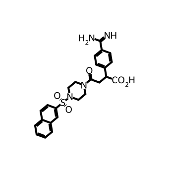 N=C(N)c1ccc(C(CC(=O)N2CCN(S(=O)(=O)c3ccc4ccccc4c3)CC2)C(=O)O)cc1